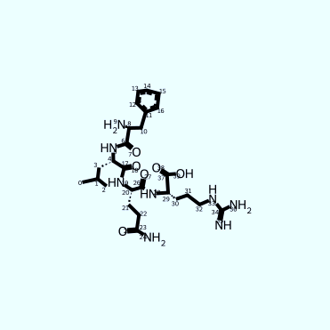 CC(C)C[C@H](NC(=O)[C@@H](N)Cc1ccccc1)C(=O)N[C@@H](CCC(N)=O)C(=O)N[C@@H](CCCNC(=N)N)C(=O)O